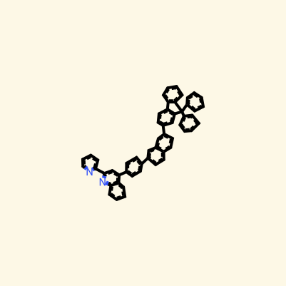 c1ccc(C2(c3ccccc3)c3ccccc3-c3ccc(-c4ccc5ccc(-c6ccc(-c7cc(-c8ccccn8)nc8ccccc78)cc6)cc5c4)cc32)cc1